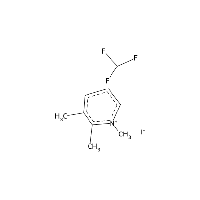 Cc1ccc[n+](C)c1C.FC(F)F.[I-]